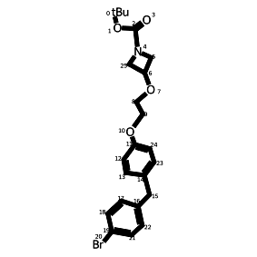 CC(C)(C)OC(=O)N1CC(OCCOc2ccc(Cc3ccc(Br)cc3)cc2)C1